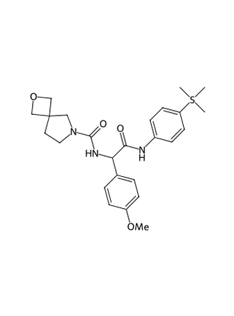 COc1ccc(C(NC(=O)N2CCC3(COC3)C2)C(=O)Nc2ccc(S(C)(C)C)cc2)cc1